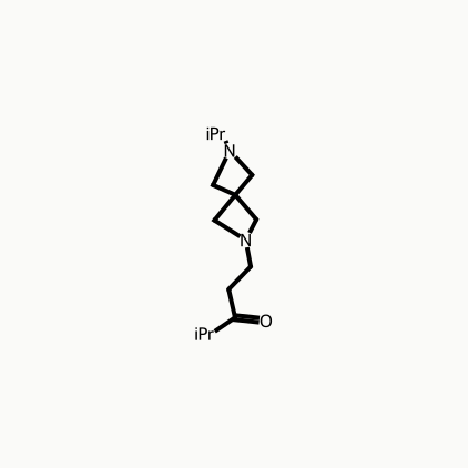 CC(C)C(=O)CCN1CC2(C1)CN(C(C)C)C2